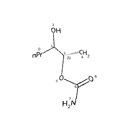 CCCC(O)[C@H](C)OC(N)=O